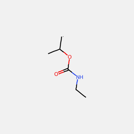 [CH2]C(C)OC(=O)NCC